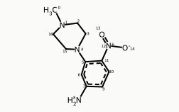 CN1CCN(c2cc(N)ccc2[N+](=O)[O-])CC1